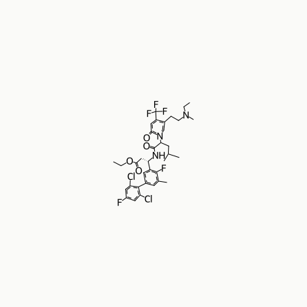 CCOC(=O)C[C@H](NC(=O)C(CC(C)C)n1cc(CCN(C)CC)c(C(F)(F)F)cc1=O)c1cc(-c2c(Cl)cc(F)cc2Cl)cc(C)c1F